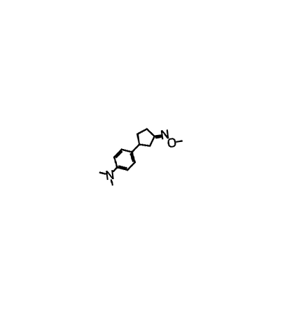 CON=C1CCC(c2ccc(N(C)C)cc2)C1